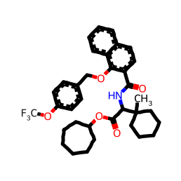 CC1(C(NC(=O)c2ccc3ccccc3c2OCc2ccc(OC(F)(F)F)cc2)C(=O)OC2CCCCCC2)CCCCC1